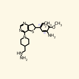 C=C(OC)/C(N)=C\C(=C/C)C1Cc2ncnc(N3CCC(CNN)CC3)c2S1